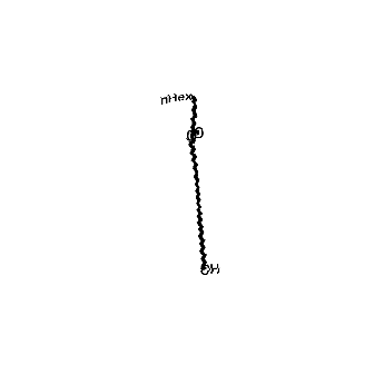 CCCCCC/C=C\CCCCCCCC(=O)OCCCCCCCCCCCCCCCCCCCCCCCCCCCCCCCCCCCCO